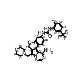 Nc1ncnn2c(CN3CCOCC3)c(CO)c(-c3ccc(NC(=O)Nc4cc(C(F)(F)F)ccc4F)cc3)c12